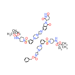 CC(C)(C)OC(=O)NC1CCN(S(=O)(=O)c2cccc(N3CCN(C4CN(C(=O)OCc5ccccc5)C4)CC3)c2)CC1.CC(C)(C)OC(=O)NC1CCN(S(=O)(=O)c2cccc(N3CCN(C4CN(c5ccc6c(c5)CN(C5CCC(=O)NC5=O)C6=O)C4)CC3)c2)CC1